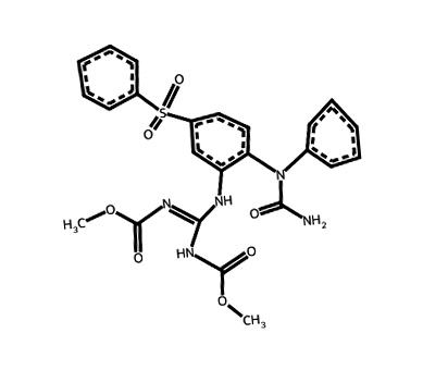 COC(=O)N=C(NC(=O)OC)Nc1cc(S(=O)(=O)c2ccccc2)ccc1N(C(N)=O)c1ccccc1